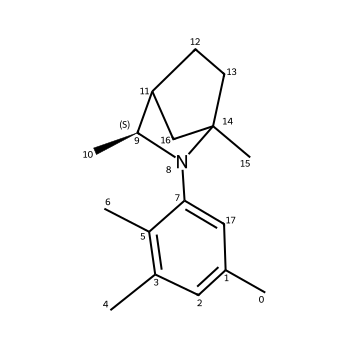 Cc1cc(C)c(C)c(N2[C@@H](C)C3CCC2(C)C3)c1